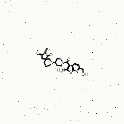 CC(C)N1C(=O)CC2(CCCN(C3CCN(C(=O)c4c(N)sc5nc(CO)ccc45)CC3)C2)C1=O